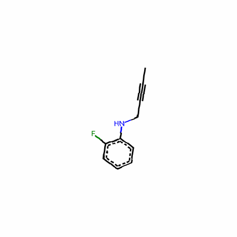 CC#CCNc1ccccc1F